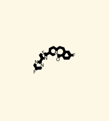 O=C1c2ccc(F)cc2CCC2CCC(c3nc(-c4ncc(F)cn4)cs3)CN12